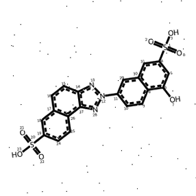 O=S(=O)(O)c1cc(O)c2ccc(-n3nc4ccc5cc(S(=O)(=O)O)ccc5c4n3)cc2c1